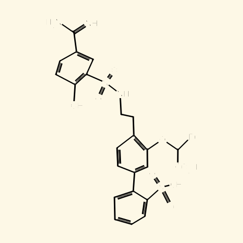 CCC(Oc1cc(-c2ccccc2S(C)(=O)=O)ccc1CCNS(=O)(=O)c1cc(C(=N)N)ccc1O)C(=O)O